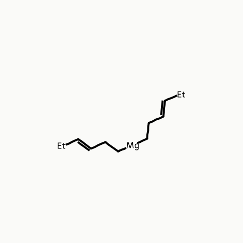 CCC=CC[CH2][Mg][CH2]CC=CCC